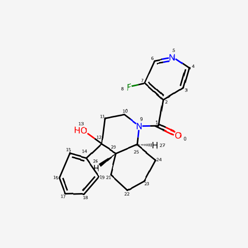 O=C(c1ccncc1F)N1CCC(O)(c2ccccc2)[C@H]2CCCC[C@@H]21